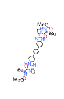 CC[C@H](C)[C@H](/N=C/OOC)C(=O)N1CCC[C@H]1c1nc2cc(-c3ccc(-c4ccc5[nH]c([C@@H]6CCCN6C(=O)[C@@H](NC(=O)OC)[C@@H](C)CC)nc5c4)cc3)ccc2[nH]1